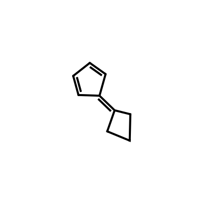 C1=CC(=C2CCC2)C=C1